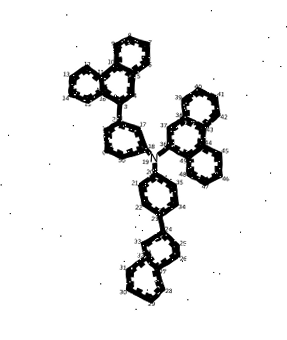 c1cc(-c2cc3ccccc3c3ccccc23)cc(N(c2ccc(-c3ccc4ccccc4c3)cc2)c2cc3ccccc3c3ccccc23)c1